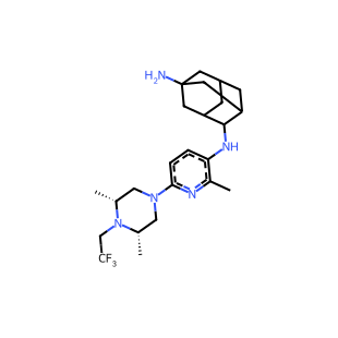 Cc1nc(N2C[C@@H](C)N(CC(F)(F)F)[C@@H](C)C2)ccc1NC1C2CC3CC1CC(N)(C3)C2